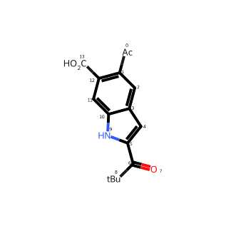 CC(=O)c1cc2cc(C(=O)C(C)(C)C)[nH]c2cc1C(=O)O